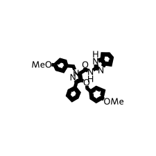 COc1ccc(COc2c(-c3ccccc3)nn(Cc3ccc(OC)cc3)c2C(=O)Nc2nc3ccccc3[nH]2)cc1